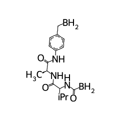 BCc1ccc(NC(=O)[C@H](C)NC(=O)C(NC(B)=O)C(C)C)cc1